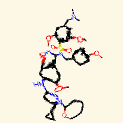 COc1ccc(CN(c2noc3cc(Nc4cc(C5CC5)n(C5CCCCO5)n4)c(OC)cc23)S(=O)(=O)c2c(OC)cc(CN(C)C)cc2OC)cc1